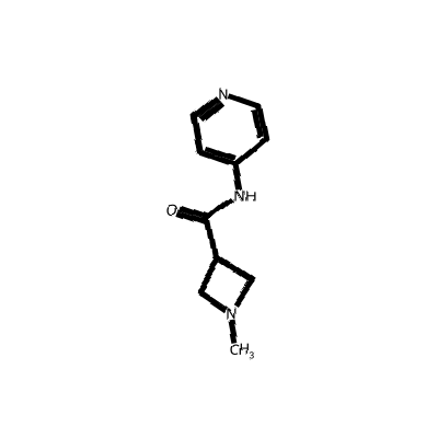 CN1CC(C(=O)Nc2ccncc2)C1